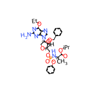 CCOc1nc(N)nc2c1ncn2[C@@]12CO[C@@](COP(=O)(N[C@H](C)C(=O)OC(C)C)Oc3ccccc3)(CO1)[C@H]2OCc1ccccc1